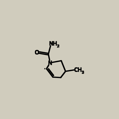 CC1CC=[C]N(C(N)=O)C1